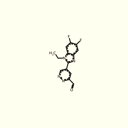 CCn1c(-c2cnnc(C=O)c2)nc2cc(F)c(F)cc21